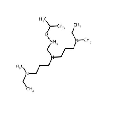 CCN(C)CCCN(CCCN(C)CC)C[SiH2]OC(C)C